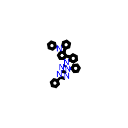 c1ccc(-c2cnc3c(n2)nc(-n2c4ccccc4c4c5c6ccccc6n(-c6ccccc6)c5ccc42)n3-c2ccccc2)cc1